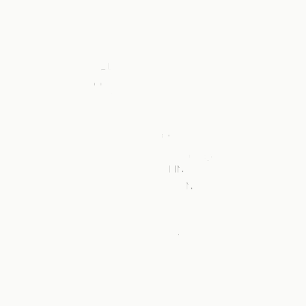 CCOc1ccc(-c2ccc(C(=O)NN=Cc3cccs3)o2)cc1